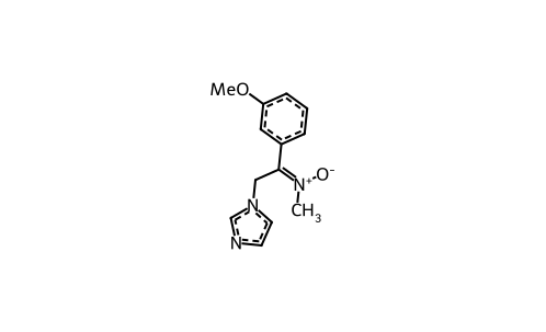 COc1cccc(C(Cn2ccnc2)=[N+](C)[O-])c1